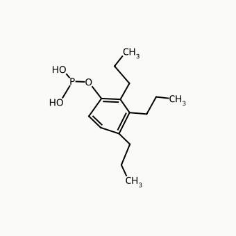 CCCc1ccc(OP(O)O)c(CCC)c1CCC